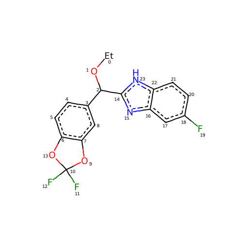 CCOC(c1ccc2c(c1)OC(F)(F)O2)c1nc2cc(F)ccc2[nH]1